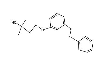 CC(C)(O)CCOc1cccc(OCc2ccccc2)c1